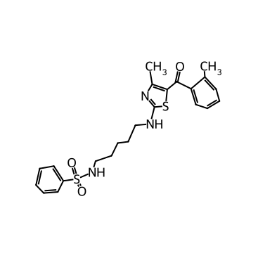 Cc1ccccc1C(=O)c1sc(NCCCCCNS(=O)(=O)c2ccccc2)nc1C